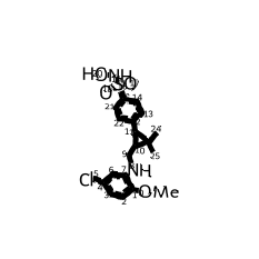 COc1ccc(Cl)cc1NCC1C(c2ccc(S(=O)(=O)NO)cc2)C1(C)C